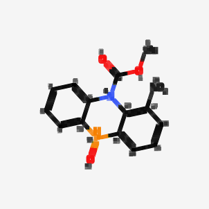 CC(C)(C)OC(=O)N1c2ccccc2[PH](=O)c2cccc([N+](=O)[O-])c21